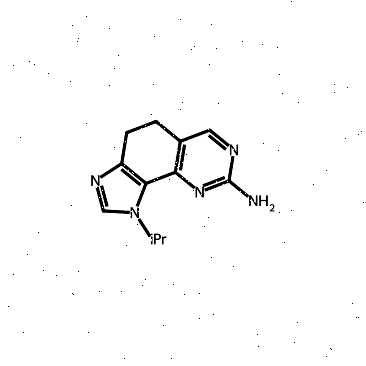 CC(C)n1cnc2c1-c1nc(N)ncc1CC2